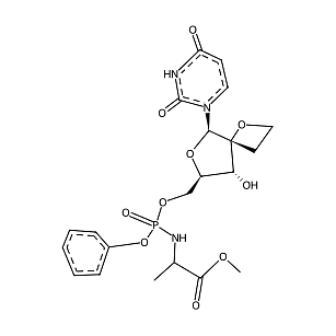 COC(=O)C(C)NP(=O)(OC[C@H]1O[C@@H](n2ccc(=O)[nH]c2=O)[C@@]2(CCO2)[C@@H]1O)Oc1ccccc1